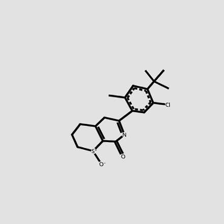 Cc1cc(C(C)(C)C)c(Cl)cc1C1=NC(=O)C2=C(CCC[S+]2[O-])C1